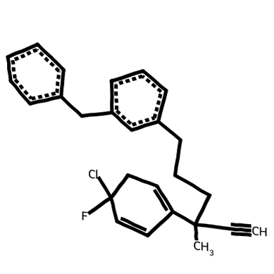 C#CC(C)(CCCc1cccc(Cc2ccccc2)c1)C1=CCC(F)(Cl)C=C1